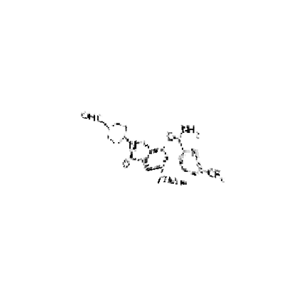 COc1cc2c(cc1-c1ccc(C(F)(F)F)nc1C(N)=O)CN(C1CCC(C=O)CC1)C2=O